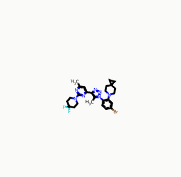 Cc1cc(-c2nnn(-c3ccc(Br)cc3N3CCC4(CC3)CC4)c2C)nc(N2CCC(F)(F)CC2)n1